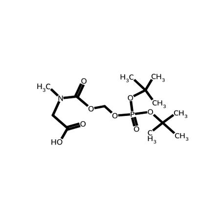 CN(CC(=O)O)C(=O)OCOP(=O)(OC(C)(C)C)OC(C)(C)C